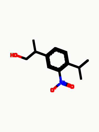 C[C](CO)c1ccc(C(C)C)c([N+](=O)[O-])c1